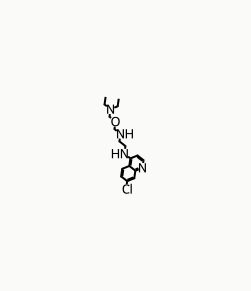 CCN(CC)COCNCCNc1ccnc2cc(Cl)ccc12